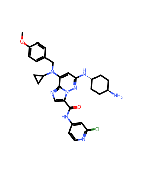 COc1ccc(CN(c2cc(N[C@H]3CC[C@H](N)CC3)nn3c(C(=O)Nc4ccnc(Cl)c4)cnc23)C2CC2)cc1